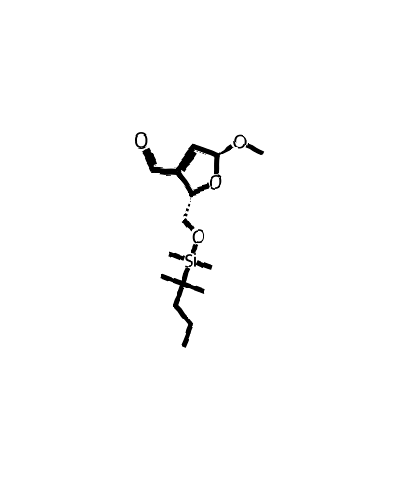 CCCC(C)(C)[Si](C)(C)OC[C@H]1O[C@H](OC)C=C1C=O